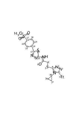 CCc1nnc(SCC(=O)Nc2nnc(-c3ccc(S(C)(=O)=O)cc3)s2)n1C1CC1